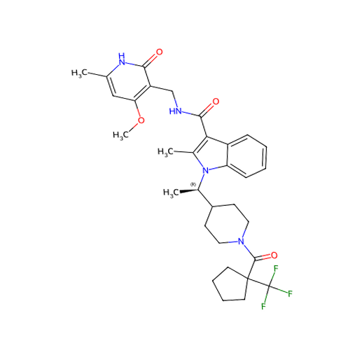 COc1cc(C)[nH]c(=O)c1CNC(=O)c1c(C)n([C@H](C)C2CCN(C(=O)C3(C(F)(F)F)CCCC3)CC2)c2ccccc12